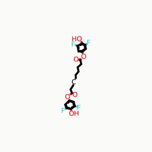 O=C(CCCCCCCCC(=O)Oc1cc(F)c(O)c(F)c1)Oc1cc(F)c(O)c(F)c1